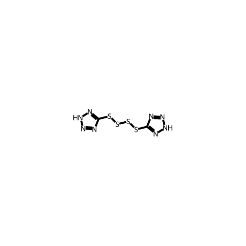 n1nc(SSSSc2nn[nH]n2)n[nH]1